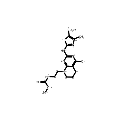 CCOC(=O)c1sc(Nc2nc(Cl)c3c(n2)N(CCNC(=O)OC(C)(C)C)CCC3)nc1C